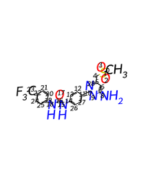 CS(=O)(=O)Cc1cc(N)nc(-c2ccc(NC(=O)Nc3ccc(C(F)(F)F)cc3)cc2)n1